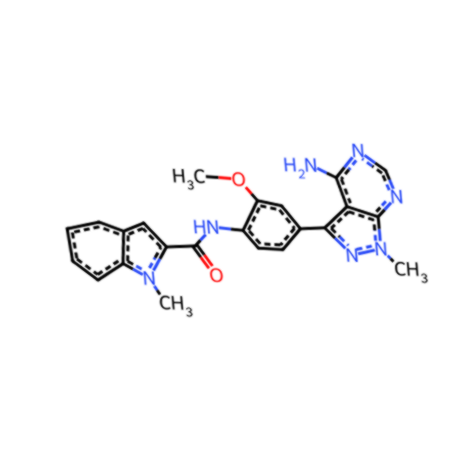 COc1cc(-c2nn(C)c3ncnc(N)c23)ccc1NC(=O)c1cc2ccccc2n1C